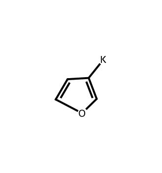 [K][c]1ccoc1